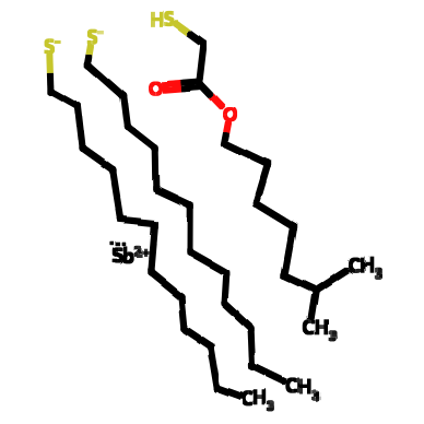 CC(C)CCCCCOC(=O)CS.CCCCCCCCCCCC[S-].CCCCCCCCCCCC[S-].[Sb+2]